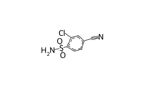 N#Cc1ccc(S(N)(=O)=O)c(Cl)c1